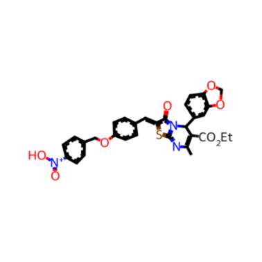 CCOC(=O)C1=C(C)N=c2s/c(=C\c3ccc(OCc4ccc([N+](=O)O)cc4)cc3)c(=O)n2C1c1ccc2c(c1)OCO2